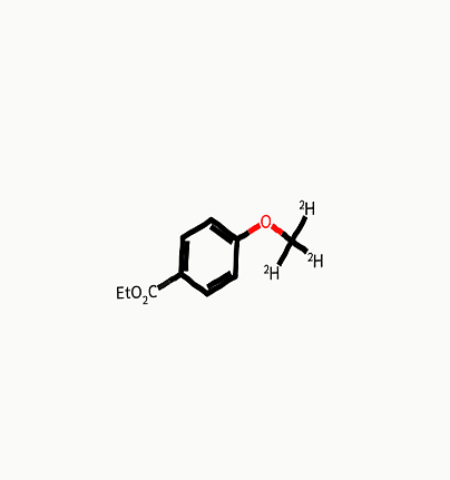 [2H]C([2H])([2H])Oc1ccc(C(=O)OCC)cc1